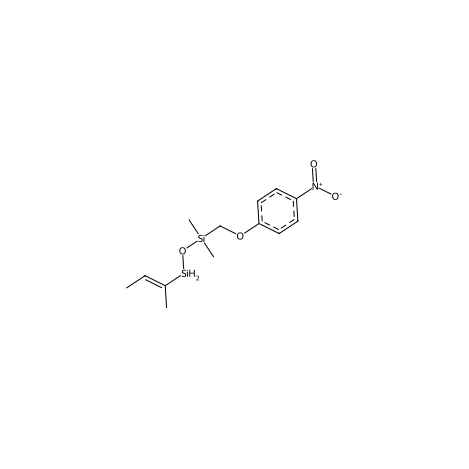 CC=C(C)[SiH2]O[Si](C)(C)COc1ccc([N+](=O)[O-])cc1